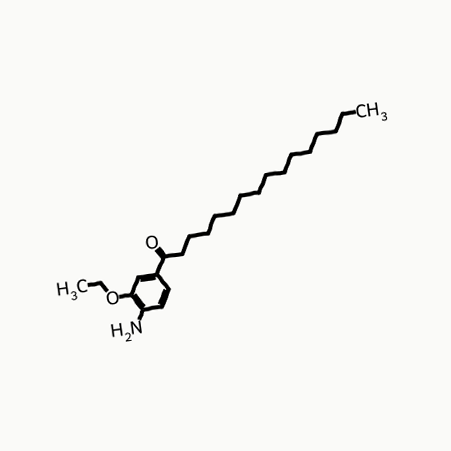 CCCCCCCCCCCCCCCC(=O)c1ccc(N)c(OCC)c1